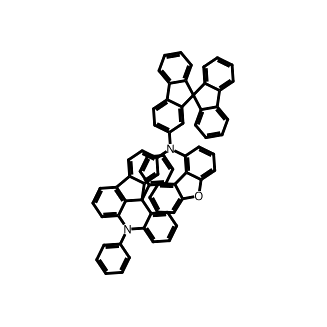 c1ccc(N2c3ccccc3C3(c4ccccc4)c4cc(N(c5ccc6c(c5)C5(c7ccccc7-c7ccccc75)c5ccccc5-6)c5cccc6oc7ccccc7c56)ccc4-c4cccc2c43)cc1